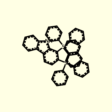 c1ccc([Si](c2ccccc2)(c2ccccc2)c2ccc3c([nH]c4ccccc43)c2[Si](c2ccccc2)(c2ccccc2)c2ccccc2)cc1